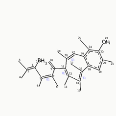 BC(=C(C)C)/C(C)=C(/C)C(=C)C1=C(C)/C(C)=C(\C)c2cc(C)c(O)c(C)c2/C=C\1C